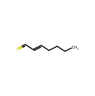 CCCCC=CC=S